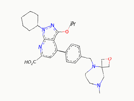 CC(C)Oc1nn(C2CCCCC2)c2nc(C(=O)O)cc(-c3ccc(CN4CCN(C)CC45COC5)cc3)c12